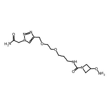 NOC1CN(C(=O)NCCCOCCOCc2cn(CC(N)=O)nn2)C1